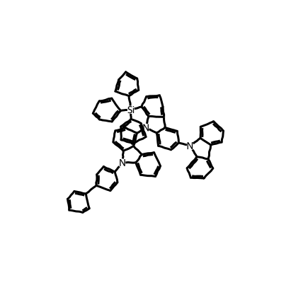 c1ccc(-c2ccc(-n3c4ccccc4c4c(-n5c6ccc(-n7c8ccccc8c8ccccc87)cc6c6cccc([Si](c7ccccc7)(c7ccccc7)c7ccccc7)c65)cccc43)cc2)cc1